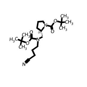 CC(C)(C)OC(=O)N(CCCC#N)C[C@@H]1CCCN1C(=O)OC(C)(C)C